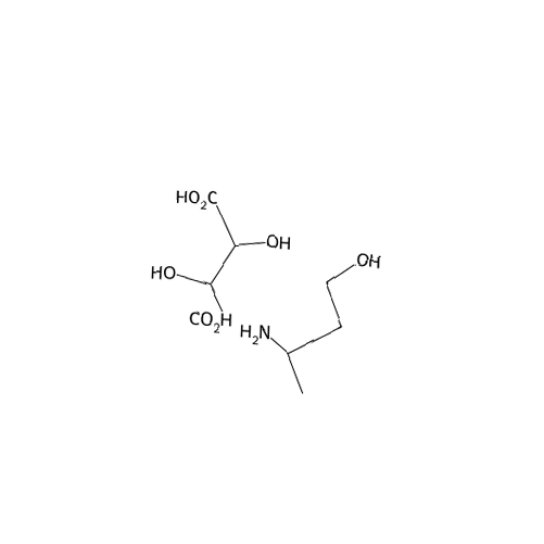 CC(N)CCO.O=C(O)C(O)C(O)C(=O)O